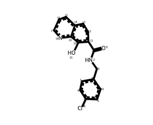 O=C(NCc1ccc(Cl)cc1)c1ccc2cccnc2c1O